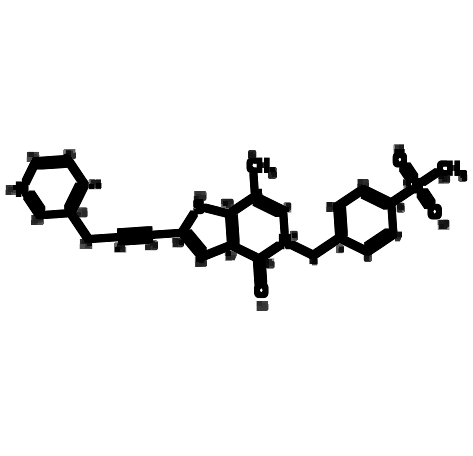 Cc1cn(Cc2ccc(S(C)(=O)=O)cc2)c(=O)c2cc(C#CCc3cccnc3)sc12